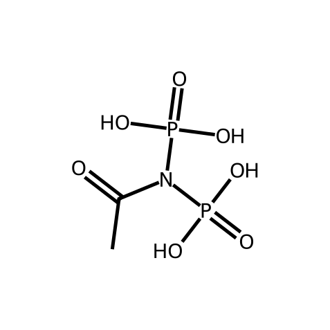 CC(=O)N(P(=O)(O)O)P(=O)(O)O